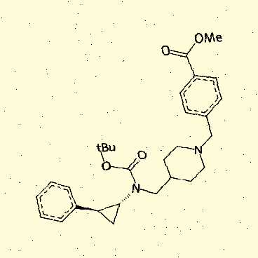 COC(=O)c1ccc(CN2CCC(CN(C(=O)OC(C)(C)C)[C@@H]3C[C@H]3c3ccccc3)CC2)cc1